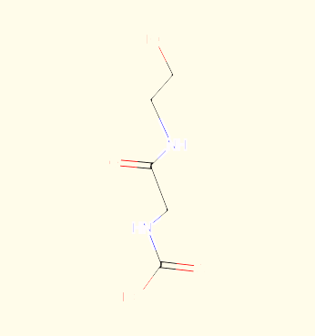 O=C(O)NCC(=O)NCCO